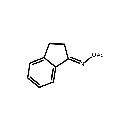 CC(=O)O/N=C1\CCc2ccccc21